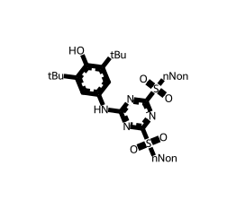 CCCCCCCCCS(=O)(=O)c1nc(Nc2cc(C(C)(C)C)c(O)c(C(C)(C)C)c2)nc(S(=O)(=O)CCCCCCCCC)n1